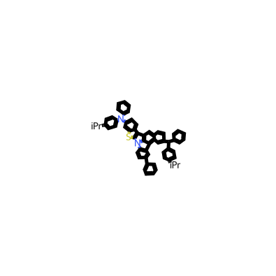 CC(C)c1ccc(C(c2ccccc2)c2ccc3cc4c5c6ccc(N(c7ccccc7)c7ccc(C(C)C)cc7)cc6sc5n5c6ccc(-c7ccccc7)cc6c(c3c2)c45)cc1